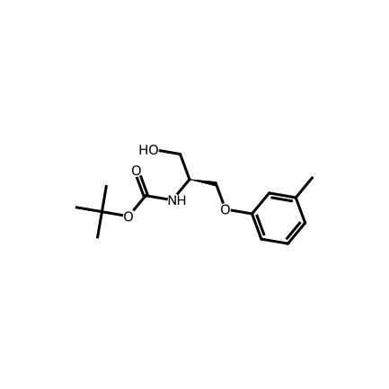 Cc1cccc(OC[C@H](CO)NC(=O)OC(C)(C)C)c1